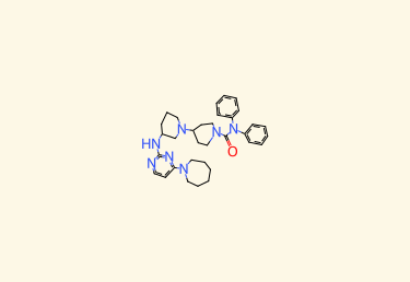 O=C(N1CCC(N2CCCC(Nc3nccc(N4CCCCCC4)n3)C2)CC1)N(c1ccccc1)c1ccccc1